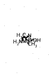 CCN(OCCO)c1nc(N)cc(C)c1C#N